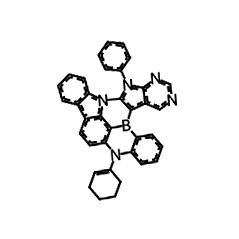 C1=C(N2c3ccccc3B3c4c(n(-c5ccccc5)c5ncncc45)-n4c5ccccc5c5ccc2c3c54)CCCC1